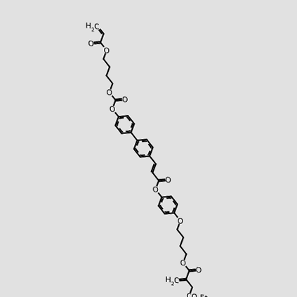 C=CC(=O)OCCCCOC(=O)Oc1ccc(-c2ccc(/C=C/C(=O)Oc3ccc(OCCCCOC(=O)C(=C)CC(=O)OCC)cc3)cc2)cc1